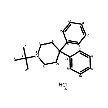 CC(C)(C)N1CCC(c2ccccc2)(c2ccccc2)CC1.Cl